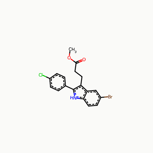 COC(=O)CCc1c(-c2ccc(Cl)cc2)[nH]c2ccc(Br)cc12